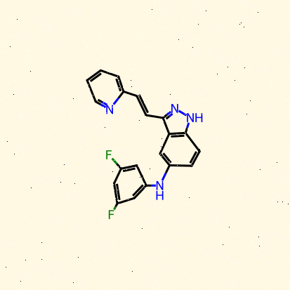 Fc1cc(F)cc(Nc2ccc3[nH]nc(C=Cc4ccccn4)c3c2)c1